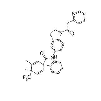 CC1=CC(C(=O)Nc2ccc3c(c2)CCN3C(=O)Cc2ccccn2)(c2ccccc2)C=CC1(C)C(F)(F)F